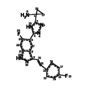 NC1(c2nnc(-c3cc4c(C=Cc5ccc(F)cc5)n[nH]c4cc3F)[nH]2)CC1